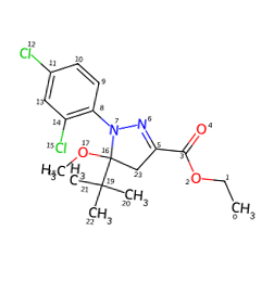 CCOC(=O)C1=NN(c2ccc(Cl)cc2Cl)C(OC)(C(C)(C)C)C1